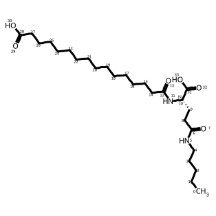 CCCCCNC(=O)CC[C@H](NC(=O)CCCCCCCCCCCCCCC(=O)O)C(=O)O